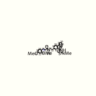 CNC(=S)NS(=O)(=O)c1cc(CCNC(=O)/C=C/c2ccc(OC)cc2OC)ccc1-c1ccco1